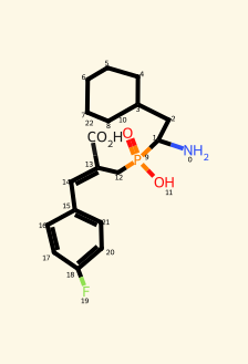 NC(CC1CCCCC1)P(=O)(O)C/C(=C\c1ccc(F)cc1)C(=O)O